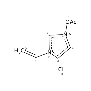 C=C[n+]1ccn(OC(C)=O)c1.[Cl-]